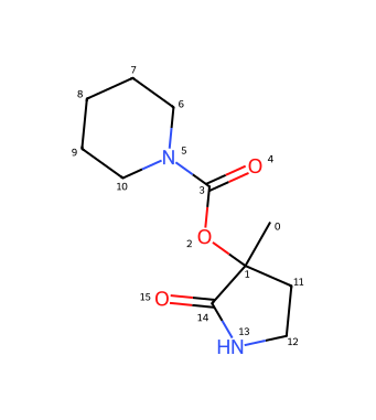 CC1(OC(=O)N2CCCCC2)CCNC1=O